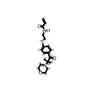 C=CC(=O)NCCSc1ccc(C(=O)C(C)(C)N2CCOCC2)cc1